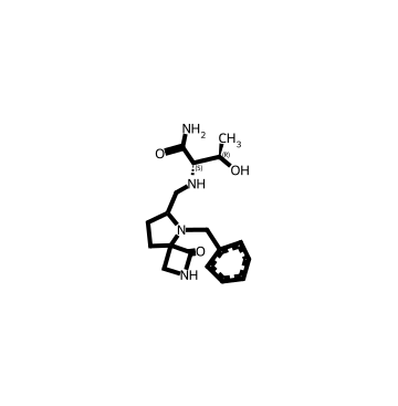 C[C@@H](O)[C@H](NCC1CCC2(CNC2=O)N1Cc1ccccc1)C(N)=O